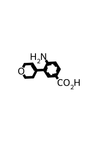 Nc1ccc(C(=O)O)cc1C1=CCOCC1